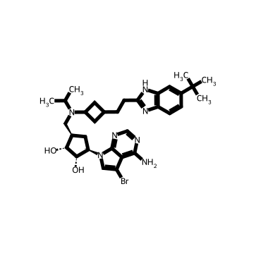 CC(C)N(C[C@H]1C[C@@H](n2cc(Br)c3c(N)ncnc32)[C@H](O)[C@@H]1O)C1CC(CCc2nc3ccc(C(C)(C)C)cc3[nH]2)C1